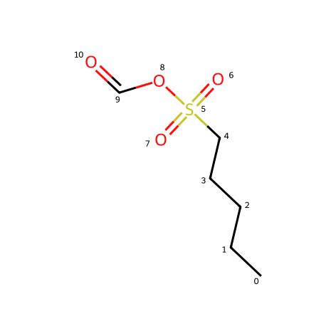 CCCCCS(=O)(=O)OC=O